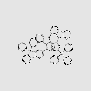 c1ccc([Si](c2ccccc2)(c2ccccc2)c2cccc(-n3c4ccccc4c4cccc(-n5c6ccccc6c6c(-c7ccc8c(c7)[Si](c7ccccc7)(c7ccccc7)c7ccccc7-8)cccc65)c43)c2)cc1